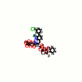 C[C@@H](OC(=O)C[C@@H](Cc1ccc(-c2cccc(Cl)c2)c(F)c1)NC(=O)CCP(=O)(O)O)OC(=O)OC1CCCCC1